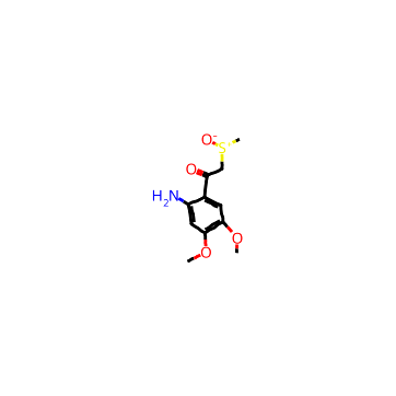 COc1cc(N)c(C(=O)C[S+](C)[O-])cc1OC